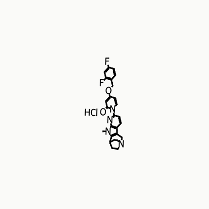 Cl.Cn1c2c(c3ccc(-n4ccc(OCc5ccc(F)cc5F)cc4=O)nc31)CN1CCC2CC1